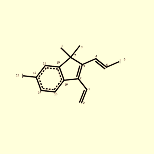 C=CC1=C(/C=C/I)C(C)(C)c2cc(I)ccc21